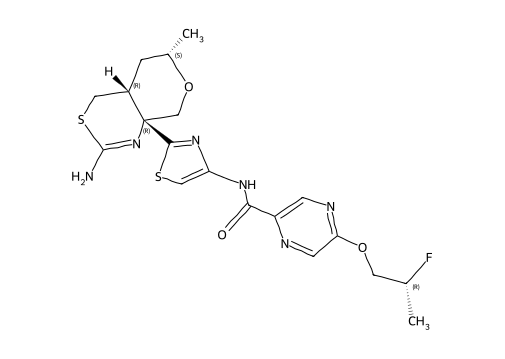 C[C@@H](F)COc1cnc(C(=O)Nc2csc([C@]34CO[C@@H](C)C[C@H]3CSC(N)=N4)n2)cn1